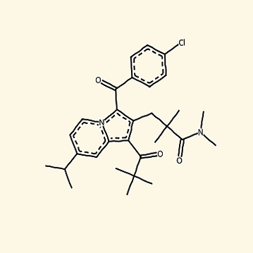 CC(C)c1ccn2c(C(=O)c3ccc(Cl)cc3)c(CC(C)(C)C(=O)N(C)C)c(C(=O)C(C)(C)C)c2c1